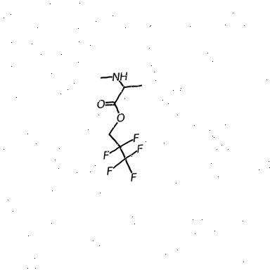 CNC(C)C(=O)OCC(F)(F)C(F)(F)F